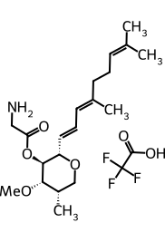 CO[C@@H]1[C@@H](OC(=O)CN)[C@H](/C=C/C=C(\C)CCC=C(C)C)OC[C@@H]1C.O=C(O)C(F)(F)F